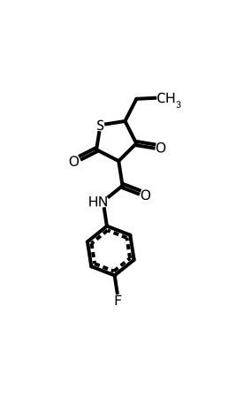 CCC1SC(=O)C(C(=O)Nc2ccc(F)cc2)C1=O